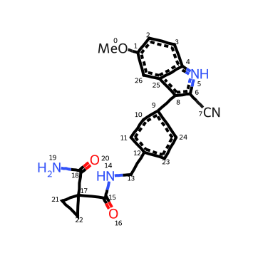 COc1ccc2[nH]c(C#N)c(-c3ccc(CNC(=O)C4(C(N)=O)CC4)cc3)c2c1